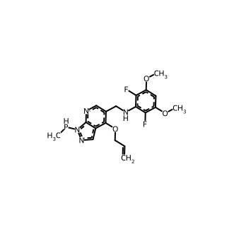 C=CCOc1c(CNc2c(F)c(OC)cc(OC)c2F)cnc2c1cnn2PC